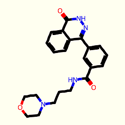 O=C(NCCCN1CCOCC1)c1cccc(-c2n[nH]c(=O)c3ccccc23)c1